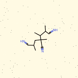 CC(C=N)CC(C)(C#N)C(C)C(C)C=N